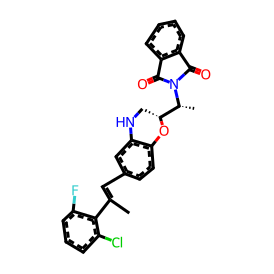 C/C(=C\c1ccc2c(c1)NC[C@H]([C@@H](C)N1C(=O)c3ccccc3C1=O)O2)c1c(F)cccc1Cl